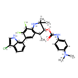 C[C@@H]1c2cc(-c3cccc4c(Cl)c[nH]c34)c(F)c(F)c2NC(C)(C)[C@H]1OC(=O)Nc1ccc(N(C)C)cc1